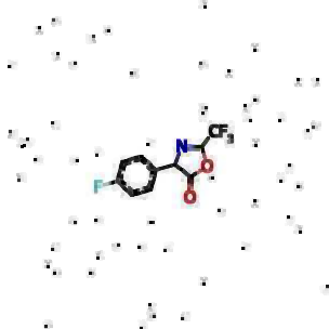 O=C1OC(C(F)(F)F)=NC1c1ccc(F)cc1